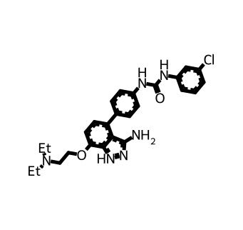 CCN(CC)CCOc1ccc(-c2ccc(NC(=O)Nc3cccc(Cl)c3)cc2)c2c(N)n[nH]c12